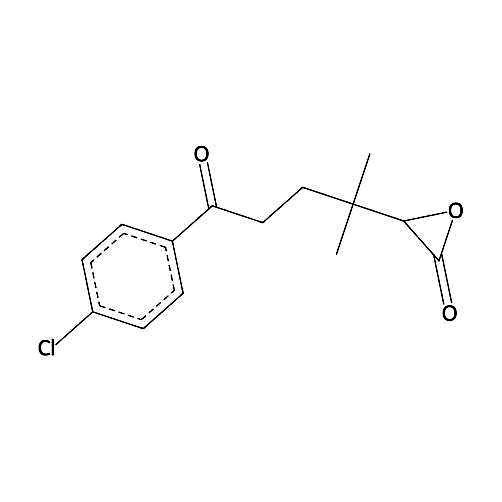 CC(C)(CCC(=O)c1ccc(Cl)cc1)C1OC1=O